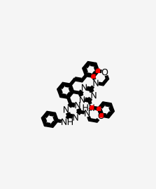 C(=Cc1cccc(-c2nc(Nc3ccccc3)nc(N3CCOCC3)n2)c1-c1nc(Nc2ccccc2)nc(N2CCOCC2)n1)c1ccccc1